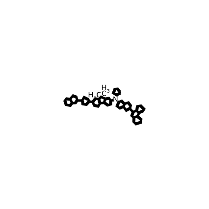 CC1(C)c2cc(-c3ccc(-c4ccc5ccccc5c4)cc3)ccc2-c2ccc(N(c3ccccc3)c3ccc4cc(-c5cc6ccccc6c6ccccc56)ccc4c3)cc21